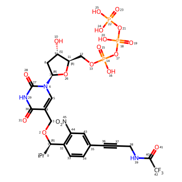 CC(C)[C@@H](OCc1cn([C@H]2C[C@H](O)[C@@H](COP(=O)(O)OP(=O)(O)OP(=O)(O)O)O2)c(=O)[nH]c1=O)c1ccc(C#CCNC(=O)C(F)(F)F)cc1[N+](=O)[O-]